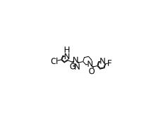 O=C(c1ccc(F)nc1)N1CCCC(c2noc(-c3cc(Cl)c[nH]3)n2)C1